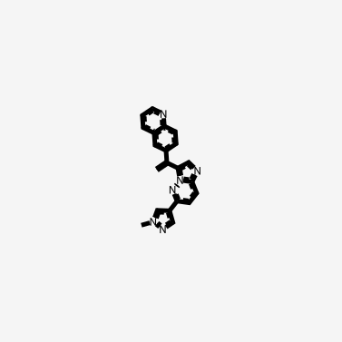 C=C(c1ccc2ncccc2c1)c1cnc2ccc(-c3cnn(C)c3)nn12